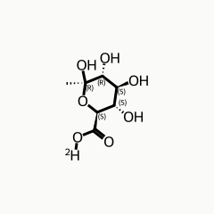 [2H]OC(=O)[C@H]1O[C@@](C)(O)[C@H](O)[C@@H](O)[C@@H]1O